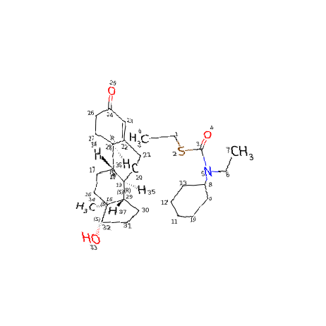 CCSC(=O)N(CC)C1CCCCC1.C[C@]12CC[C@H]3[C@@H](CCC4=CC(=O)CC[C@@H]43)[C@@H]1CC[C@@H]2O